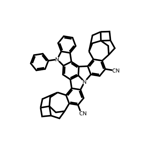 N#Cc1cc2c(c3c1C1CC4CC5CC3CC45C1)c1cc3c(c4ccccc4n3-c3ccccc3)c3c4c5c(c(C#N)cc4n2c13)C1CC2CC3CC5CC23C1